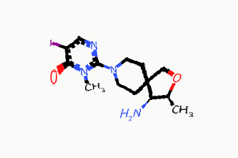 C[C@@H]1OCC2(CCN(c3ncc(I)c(=O)n3C)CC2)[C@@H]1N